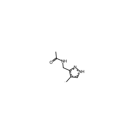 [CH2]c1c[nH]nc1CNC(C)=O